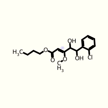 CCCCOC(=O)/C=C(\OC)C(O)C(O)c1ccccc1Cl